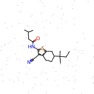 CCC(C)(C)C1CCc2c(sc(NC(=O)CC(C)C)c2C#N)C1